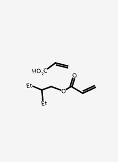 C=CC(=O)O.C=CC(=O)OCC(CC)CC